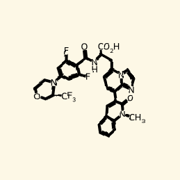 Cn1c(=O)c(-c2ccc(CC(NC(=O)c3c(F)cc(N4CCOC[C@@H]4C(F)(F)F)cc3F)C(=O)O)n3ccnc23)cc2ccccc21